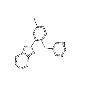 Fc1ccc(Cc2cncnc2)c(-c2cc3ccccc3o2)c1